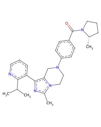 Cc1nc(-c2cccnc2C(C)C)c2n1CCN(c1ccc(C(=O)N3CCC[C@@H]3C)cc1)C2